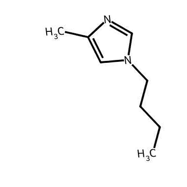 CCCCn1cnc(C)c1